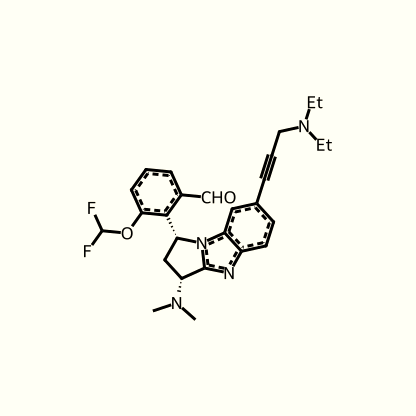 CCN(CC)CC#Cc1ccc2nc3n(c2c1)[C@@H](c1c(C=O)cccc1OC(F)F)C[C@H]3N(C)C